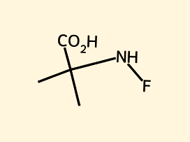 CC(C)(NF)C(=O)O